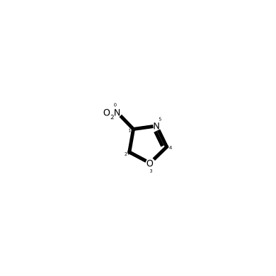 O=[N+]([O-])C1[C]OC=N1